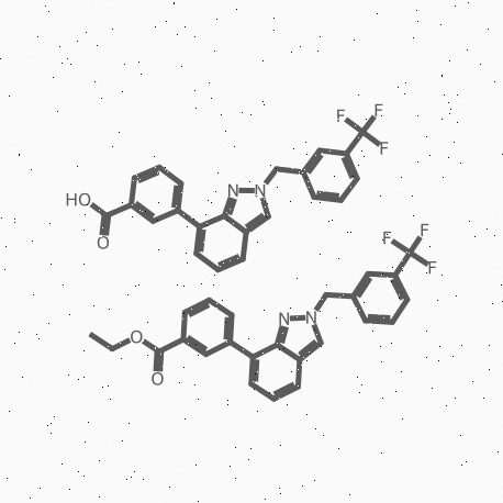 CCOC(=O)c1cccc(-c2cccc3cn(Cc4cccc(C(F)(F)F)c4)nc23)c1.O=C(O)c1cccc(-c2cccc3cn(Cc4cccc(C(F)(F)F)c4)nc23)c1